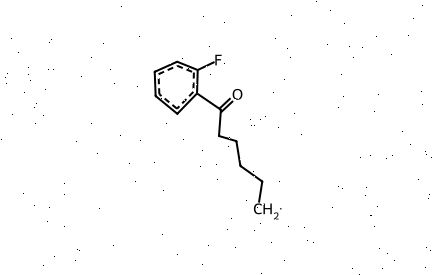 [CH2]CCCCC(=O)c1ccccc1F